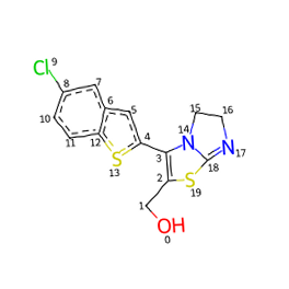 OCC1=C(c2cc3cc(Cl)ccc3s2)N2CCN=C2S1